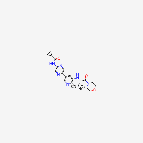 C[C@H](Nc1cc(-c2cnc(NC(=O)C3CC3)cn2)cnc1C#N)C(=O)N1CCOC[C@@H]1C#N